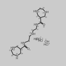 Cl.Cl.Cl.Cl.Cl.O=C(NCCNCCNC(=O)C1CNCCNC1)C1CNCCNC1